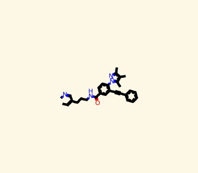 C/C=C(\C=N/C)CCCNC(=O)c1ccc(-n2nc(C)c(C)c2C)c(C#Cc2ccccc2)c1